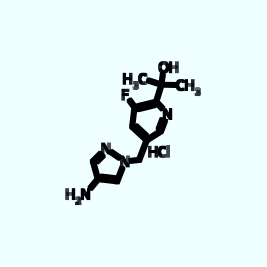 CC(C)(O)c1ncc(Cn2cc(N)cn2)cc1F.Cl